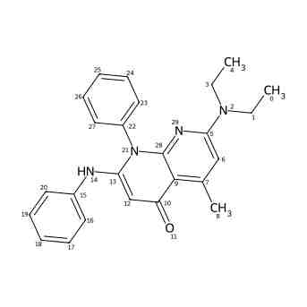 CCN(CC)c1cc(C)c2c(=O)cc(Nc3ccccc3)n(-c3ccccc3)c2n1